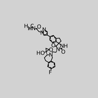 CNC(=O)Cn1cc(-c2ccc3c(c2)CCC32NC(=O)N(CC(=O)N3Cc4ccc(F)cc4CC[C@H]3C3(O)CC3)C2=O)cn1